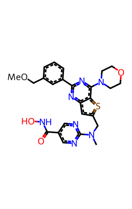 COCc1cccc(-c2nc(N3CCOCC3)c3sc(CN(C)c4ncc(C(=O)NO)cn4)cc3n2)c1